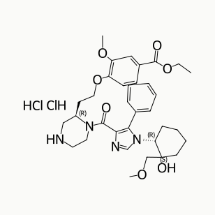 CCOC(=O)c1ccc(OCC[C@@H]2CNCCN2C(=O)c2ncn([C@@H]3CCCC[C@@]3(O)COC)c2-c2ccccc2)c(OC)c1.Cl.Cl